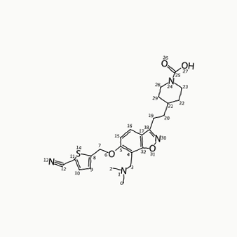 CN(C)Cc1c(OCc2ccc(C#N)s2)ccc2c(CCC3CCN(C(=O)O)CC3)noc12